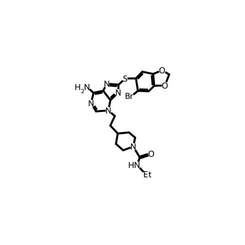 CCNC(=O)N1CCC(CCn2cnc(N)c3nc(Sc4cc5c(cc4Br)OCO5)nc2-3)CC1